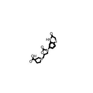 O=C1CSc2ccc(N3CC(CN4CCC(C(=O)O)C4)OC3=O)cc2N1